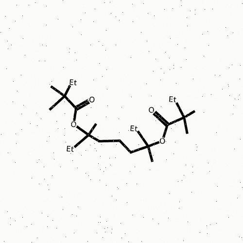 CCC(C)(CCCC(C)(CC)OC(=O)C(C)(C)CC)OC(=O)C(C)(C)CC